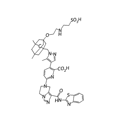 Cc1c(-c2ccc(N3CCn4cnc(C(=O)Nc5nc6ccccc6s5)c4C3)nc2C(=O)O)cnn1CC12CC3(C)CC(C)(C1)CC(OCCNCCS(=O)(=O)O)(C3)C2